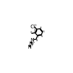 Cc1c(Cl)cccc1CN=[N+]=[N-]